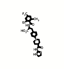 CCc1cc(C(F)(F)F)cc(C)c1C(=O)NC(Cc1ccc(N2CCC(C(=O)NC3=NCCN3)CC2)cc1)C(=O)O